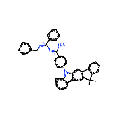 CC1(C)c2ccccc2-c2cc3c(cc21)c1ccccc1n3-c1ccc(/C(N)=N/C(=N\Cc2ccccc2)c2ccccc2)cc1